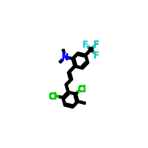 Cc1ccc(Cl)c(C/C=C/c2ccc(C(F)(F)F)cc2N(C)C)c1Cl